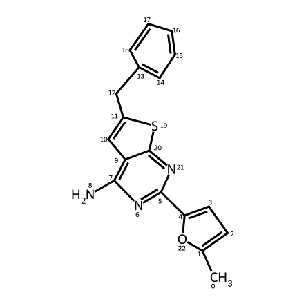 Cc1ccc(-c2nc(N)c3cc(Cc4ccccc4)sc3n2)o1